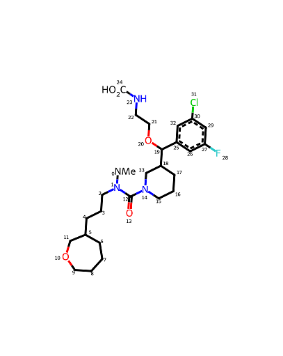 CNN(CCCC1CCCCOC1)C(=O)N1CCCC(C(OCCNC(=O)O)c2cc(F)cc(Cl)c2)C1